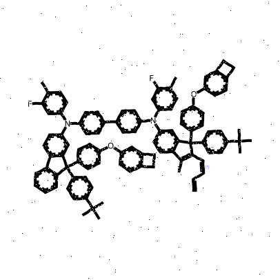 C=C/C=C\C1=C(C)c2ccc(N(c3ccc(-c4ccc(N(c5ccc(C)c(F)c5)c5ccc6c(c5)C(c5ccc(Oc7ccc8c(c7)CC8)cc5)(c5ccc(C(C)(C)C)cc5)c5ccccc5-6)cc4)cc3)c3ccc(C)c(F)c3)cc2C1(c1ccc(Oc2ccc3c(c2)CC3)cc1)c1ccc(C(C)(C)C)cc1